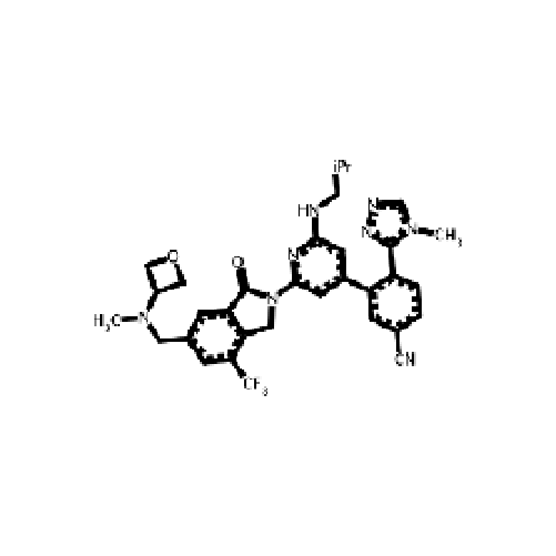 CC(C)CNc1cc(-c2cc(C#N)ccc2-c2nncn2C)cc(N2Cc3c(cc(CN(C)C4COC4)cc3C(F)(F)F)C2=O)n1